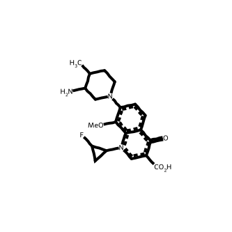 COc1c(N2CCC(C)C(N)C2)ccc2c(=O)c(C(=O)O)cn(C3CC3F)c12